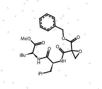 CC[C@H](C)[C@H](NC(=O)[C@H](CC(C)C)NC(=O)C1(C(=O)OCc2ccccc2)CO1)C(=O)OC